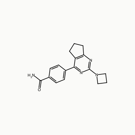 NC(=O)c1ccc(-c2nc(N3CCC3)nc3c2CCC3)cc1